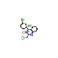 [O-][n+]1c(CCl)nc2ccccc2c1C1(Br)C=CC=C(Br)C1